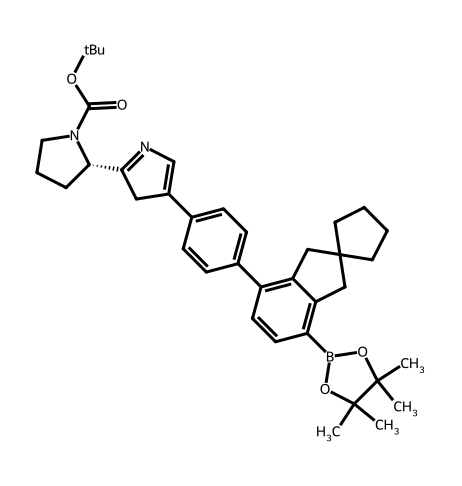 CC(C)(C)OC(=O)N1CCC[C@H]1C1=NC=C(c2ccc(-c3ccc(B4OC(C)(C)C(C)(C)O4)c4c3CC3(CCCC3)C4)cc2)C1